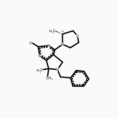 C[C@@H]1COCCN1c1nc(Cl)nc2c1CN(Cc1ccccc1)C2(C)C